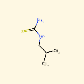 CC(C)CNC(N)=S